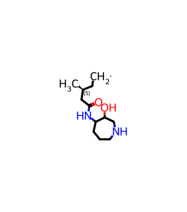 [CH2]C[C@H](C)CC(=O)NC1CCCNCC1O